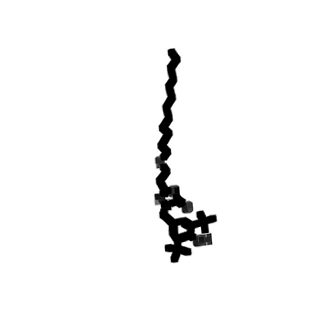 CCCCCCCCCCCCSCCc1nn(Cc2cc(C(C)(C)C)c(O)c(C(C)(C)C)c2)c(=O)o1